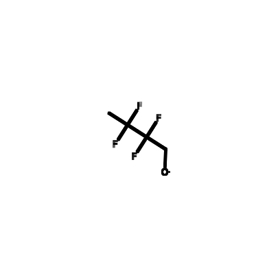 CC(F)(F)C(F)(F)C[O]